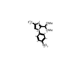 COC(OC)c1nc(C(F)(F)F)cn1-c1ccc([N+](=O)[O-])cc1